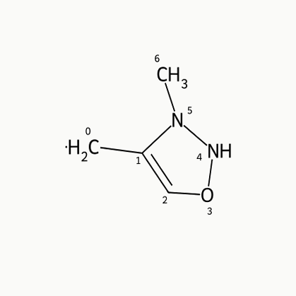 [CH2]C1=CONN1C